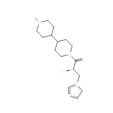 CN1CCC(C2CCN(C(=O)[C@H](N)Cn3ccnc3)CC2)CC1